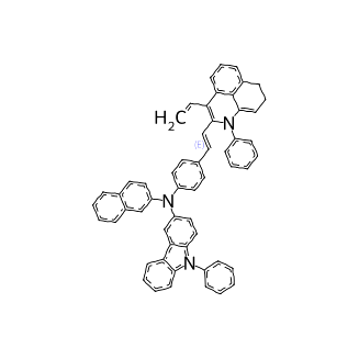 C=CC1=C(/C=C/c2ccc(N(c3ccc4ccccc4c3)c3ccc4c(c3)c3ccccc3n4-c3ccccc3)cc2)N(c2ccccc2)C2=CCCc3cccc1c32